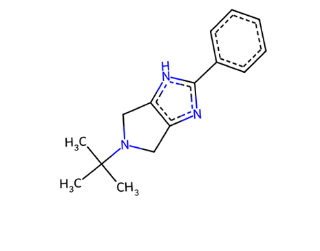 CC(C)(C)N1Cc2nc(-c3ccccc3)[nH]c2C1